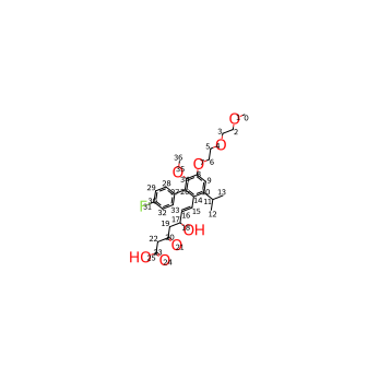 COCCOCCOc1cc(C(C)C)c(C=CC(O)CC(=O)CC(=O)O)c(-c2ccc(F)cc2)c1OC